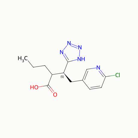 CCCC(C(=O)O)[C@H](Cc1ccc(Cl)nc1)c1nnn[nH]1